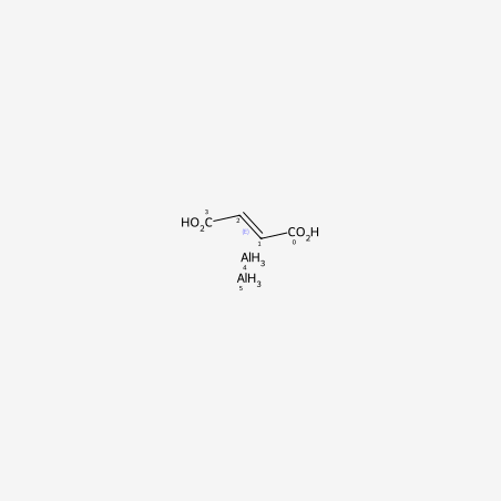 O=C(O)/C=C/C(=O)O.[AlH3].[AlH3]